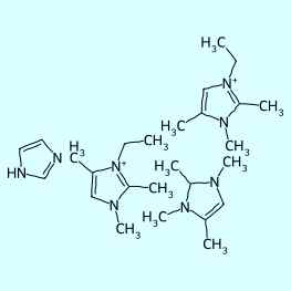 CC1=CN(C)C(C)N1C.CC[n+]1c(C)cn(C)c1C.CC[n+]1cc(C)n(C)c1C.c1c[nH]cn1